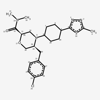 Cc1nnc(C2CCC(N3C[C@H](C(=O)N(C)C)OC[C@@H]3Cc3ccc(Cl)cc3)CC2)s1